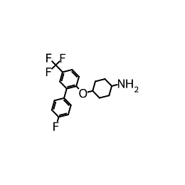 NC1CCC(Oc2ccc(C(F)(F)F)cc2-c2ccc(F)cc2)CC1